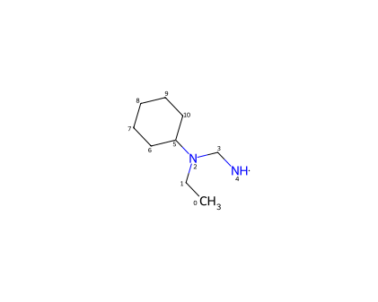 CCN(C[NH])C1CCCCC1